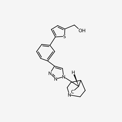 OCc1ccc(-c2cccc(-c3cn([C@H]4CN5CCC4CC5)nn3)c2)s1